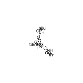 CC(C)OC(=O)N[C@H]1CC[C@H](c2ncc(-c3ccc(OCCNC(=O)OC(C)(C)C)cc3S(=O)(=O)NC(C)(C)C)s2)CC1